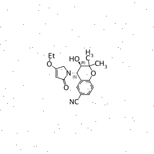 CCOC1=CC(=O)N([C@H]2c3cc(C#N)ccc3OC(C)(C)[C@@H]2O)C1